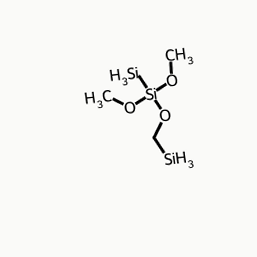 CO[Si]([SiH3])(OC)OC[SiH3]